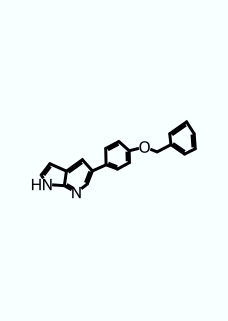 c1ccc(COc2ccc(-c3cnc4[nH]ccc4c3)cc2)cc1